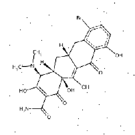 CN(C)[C@@H]1C(O)=C(C(N)=O)C(=O)[C@@]2(O)C(O)=C3C(=O)c4c(O)ccc(Br)c4C[C@H]3C[C@@H]12